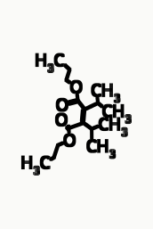 CCCOC(=O)/C(=C(\C(=O)OCCC)C(C)C)C(C)C